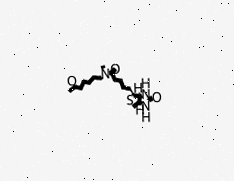 CC(=O)CCCCCN(C)C(=O)CCCC[C@@H]1SC[C@@H]2NC(=O)N[C@@H]21